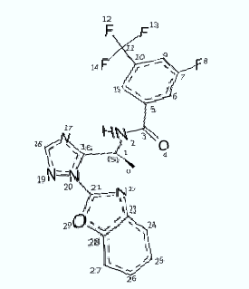 C[C@H](NC(=O)c1cc(F)cc(C(F)(F)F)c1)c1ncnn1-c1nc2ccccc2o1